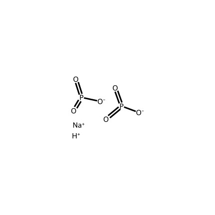 O=P(=O)[O-].O=P(=O)[O-].[H+].[Na+]